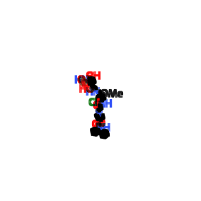 COc1cc(NC(=O)CCN2CCC(OC(=O)Nc3ccccc3-c3ccccc3)CC2)c(Cl)cc1CNC[C@H](O)c1ccc(O)c(NS(C)(=O)=O)c1